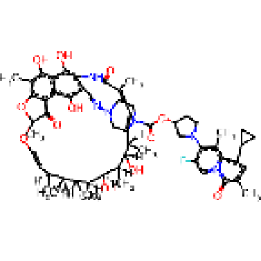 CO[C@H]1/C=C/O[C@@]2(C)Oc3c(C)c(O)c4c(O)c(c(/C=N/N5CCN(C(=O)O[C@H]6CCN(c7c(F)cn8c(=O)c(C)cc(C9CC9)c8c7C)C6)CC5)c(O)c4c3C2=O)NC(=O)/C(C)=C\C=C\[C@H](C)[C@H](O)[C@@H](C)[C@@H](O)[C@@H](C)[C@H](OC(C)=O)[C@@H]1C